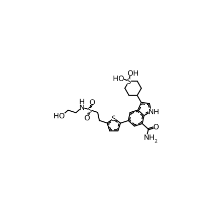 NC(=O)c1cc(-c2ccc(CCS(=O)(=O)NCCO)s2)cc2c(C3CCS(O)(O)CC3)c[nH]c12